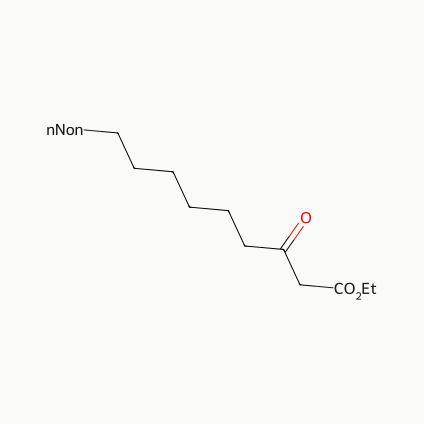 CCCCCCCCCCCCCCCC(=O)CC(=O)OCC